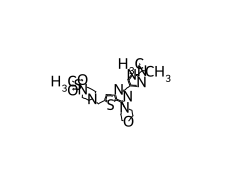 CN(C)c1ncc(-c2nc(N3CCOCC3)c3sc(CN4CCN(S(C)(=O)=O)CC4)cc3n2)cn1